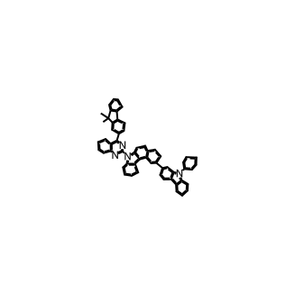 CC1(C)c2ccccc2-c2ccc(-c3nc(-n4c5ccccc5c5c6cc(-c7ccc8c9ccccc9n(-c9ccccc9)c8c7)ccc6ccc54)nc4ccccc34)cc21